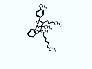 CCCCCCNC(=O)C1(C)C(CCCC)C(c2ccc(C)cc2)=NN1c1ccccc1